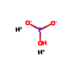 [H+].[H+].[O-]P([O-])O